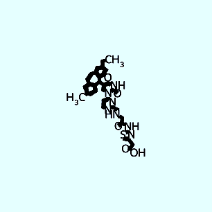 CCc1ccc2c(c1)C=Cc1cc(C)ccc1C2c1cn(-c2ccnc(CNCC(=O)Nc3nc(CC(=O)O)cs3)n2)c(=O)[nH]c1=O